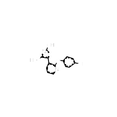 Cc1nc(C)c(-c2cccnc2Oc2ccc(C(F)(F)F)cc2)s1